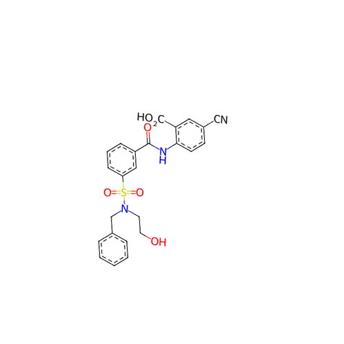 N#Cc1ccc(NC(=O)c2cccc(S(=O)(=O)N(CCO)Cc3ccccc3)c2)c(C(=O)O)c1